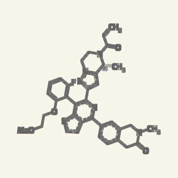 C=CC(=O)N1CCn2nc(-c3nc(-c4ccc5c(c4)CN(C)C(=O)C5)c4ccsc4c3C3=C(F)C=C=C=C3OCCOC)cc2[C@H]1C